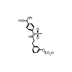 CCCC(O)c1ccc(N(NCCc2cccc(OC(=O)O)c2)S(C)(=O)=O)cc1